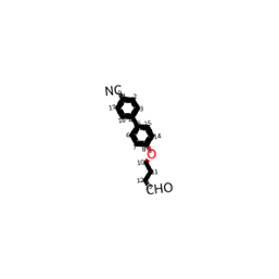 N#Cc1ccc(-c2ccc(OCCCC=O)cc2)cc1